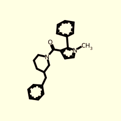 Cn1ccc(C(=O)N2CCCC(Cc3ccccc3)C2)c1-c1ccccc1